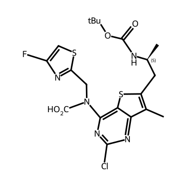 Cc1c(C[C@H](C)NC(=O)OC(C)(C)C)sc2c(N(Cc3nc(F)cs3)C(=O)O)nc(Cl)nc12